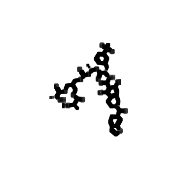 C[C@@H](OC(=O)OCC(COC(=O)[C@@H](C)O)COC(=O)[C@@H](C)O)OC(=O)[C@H](Cc1cccc(S(C)(=O)=O)c1)NC(=O)c1c(Cl)cc2c(c1Cl)CCN(C(=O)c1ccc3ccoc3c1)C2